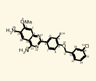 COc1cc2nc(-c3ccc(OCc4cccc(Cl)c4)c(F)c3)nc(N)c2cc1N